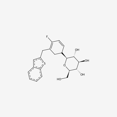 OC[C@H]1O[C@@H](C2C=CC(F)=C(Cc3cc4ccccc4s3)C2)[C@H](O)[C@@H](O)[C@@H]1O